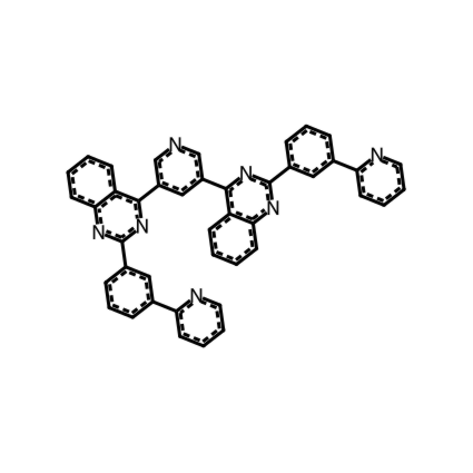 c1ccc(-c2cccc(-c3nc(-c4cncc(-c5nc(-c6cccc(-c7ccccn7)c6)nc6ccccc56)c4)c4ccccc4n3)c2)nc1